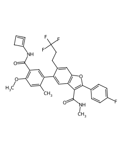 CNC(=O)c1c(-c2ccc(F)cc2)oc2cc(CCC(F)(F)F)c(-c3cc(C(=O)NC4=C=CC4)c(OC)cc3C)cc12